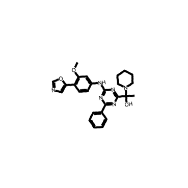 COc1cc(Nc2nc(-c3ccccc3)nc(C(C)(O)N3CCCCC3)n2)ccc1-c1cnco1